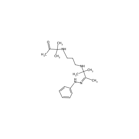 CC(=O)C(C)(C)NCCCNC(C)(C)C(C)=NNc1ccccc1